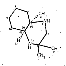 CC1(C)CN[C@]2(C)CCCC[C@@H]2N1